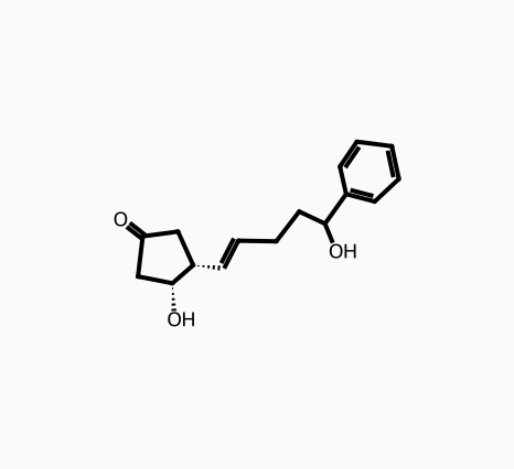 O=C1C[C@@H](O)[C@@H](/C=C/CCC(O)c2ccccc2)C1